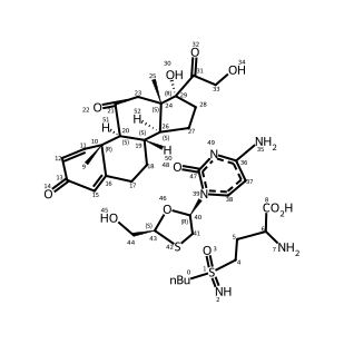 CCCCS(=N)(=O)CCC(N)C(=O)O.C[C@]12C=CC(=O)C=C1CC[C@@H]1[C@@H]2C(=O)C[C@@]2(C)[C@H]1CC[C@]2(O)C(=O)CO.Nc1ccn([C@H]2CS[C@@H](CO)O2)c(=O)n1